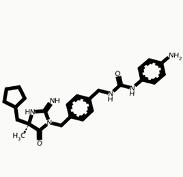 C[C@]1(CC2CCCC2)NC(=N)N(Cc2ccc(CNC(=O)Nc3ccc(N)cc3)cc2)C1=O